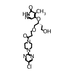 Cc1c(O[C@H](CCO)COCCC(=O)N2CCN(c3ncc(Cl)cn3)CC2)cn[nH]c1=O